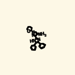 Nc1cn(C2CCCCO2)nc1-c1nc(-c2ccccc2)c(-c2ccccc2)[nH]1